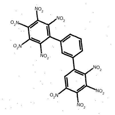 O=[N+]([O-])c1cc(-c2cccc(-c3c([N+](=O)[O-])c([N+](=O)[O-])c([N+](=O)[O-])c([N+](=O)[O-])c3[N+](=O)[O-])c2)c([N+](=O)[O-])c([N+](=O)[O-])c1[N+](=O)[O-]